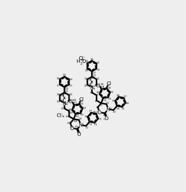 O.O=C1OCC(CCC[N+]23CCC(c4ccccc4)(CC2)CC3)(c2ccc(Cl)c(Cl)c2)CN1Cc1ccccc1.O=C1OCC(CCC[N+]23CCC(c4ccccc4)(CC2)CC3)(c2ccc(Cl)c(Cl)c2)CN1Cc1ccccc1.[Cl-].[Cl-]